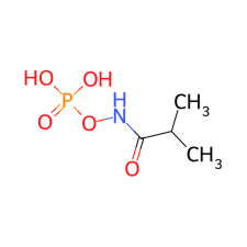 CC(C)C(=O)NOP(=O)(O)O